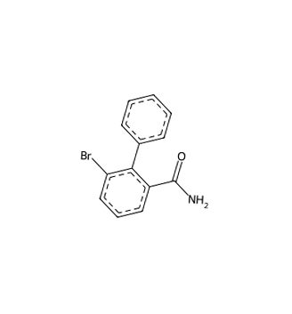 NC(=O)c1cccc(Br)c1-c1ccccc1